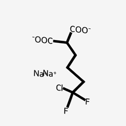 O=C([O-])C(CCCC(F)(F)Cl)C(=O)[O-].[Na+].[Na+]